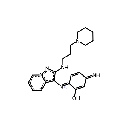 N=C1C=C/C(=N\c2c(NCCCN3CCCCC3)nn3ccccc23)C(O)=C1